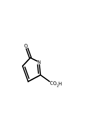 O=C1C=CC(C(=O)O)=N1